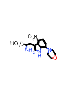 NC(Cc1c[nH]c2c(N3CCOCC3)ccc([N+](=O)[O-])c12)C(=O)O